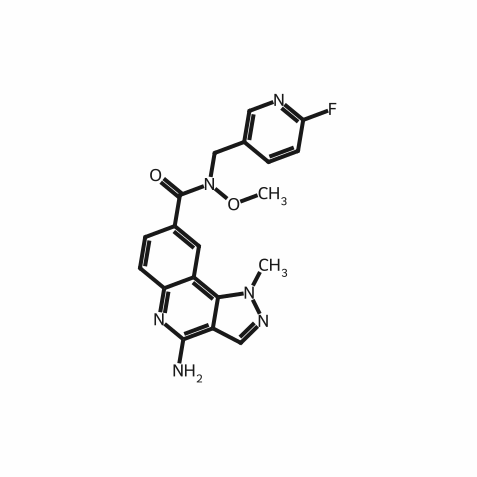 CON(Cc1ccc(F)nc1)C(=O)c1ccc2nc(N)c3cnn(C)c3c2c1